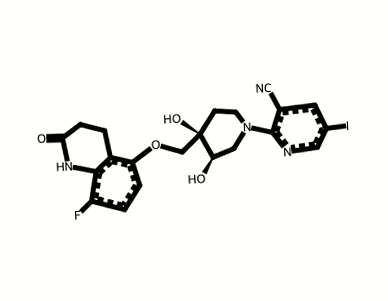 N#Cc1cc(I)cnc1N1CC[C@@](O)(COc2ccc(F)c3c2CCC(=O)N3)[C@H](O)C1